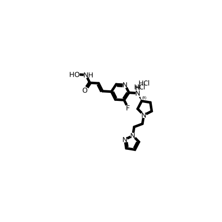 Cl.Cl.O=C(C=Cc1cnc(N[C@@H]2CCN(CCn3cccn3)C2)c(F)c1)NO